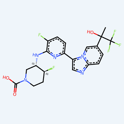 CC(O)(c1ccc2ncc(-c3ccc(F)c(N[C@H]4CN(C(=O)O)CC[C@@H]4F)n3)n2c1)C(F)(F)F